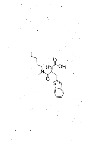 C=CCCCN(C)C(=O)C(Cc1cc2ccccc2s1)NC(=O)O